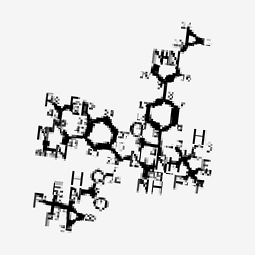 CC(C)(C[C@]1(c2ccc(-c3cnn(C4CC4)c3)cc2)NC(=N)N([C@H](COC(=O)NC2(C(F)(F)F)CC2)c2ccc(Cl)c(-c3ncnn3C(F)F)c2)C1=O)C(F)(F)F